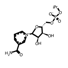 CC(C)OP(=O)([O-])OC[C@H]1OC([n+]2cccc(C(N)=O)c2)[C@H](O)[C@@H]1O